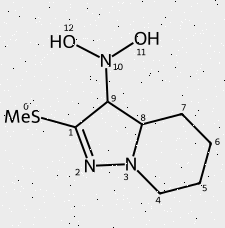 CSC1=NN2CCCCC2C1N(O)O